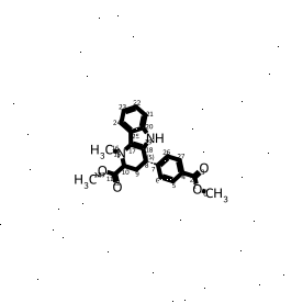 COC(=O)c1ccc([C@@H]2CC(C(=O)OC)N(C)c3c2[nH]c2ccccc32)cc1